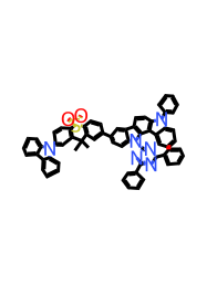 CC1(C)c2cc(-c3ccc4c(c3)c3ccc5c(c6ccccc6n5-c5ccccc5)c3n4-c3nc(-c4ccccc4)nc(-c4ccccc4)n3)ccc2S(=O)(=O)c2ccc(-n3c4ccccc4c4ccccc43)cc21